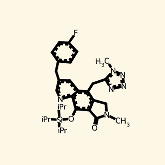 CC(C)[Si](Oc1c2c(c(Cc3nnnn3C)c3cc(Cc4ccc(F)cc4)cnc13)CN(C)C2=O)(C(C)C)C(C)C